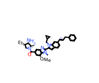 CC[C@@H]1CN(C(=O)c2cc(OC)c3c(c2)nc(-c2cc4ccc(/C=C/Cc5ccccc5)cc4n2CC2CC2)n3C)[C@H](C)[C@H]1N